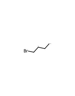 [CH2]C[CH]CBr